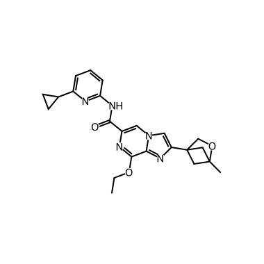 CCOc1nc(C(=O)Nc2cccc(C3CC3)n2)cn2cc(C34COC(C)(C3)C4)nc12